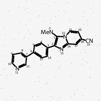 CNc1c(-c2ccc(-c3cccnc3)cc2)nc2cc(C#N)ccn12